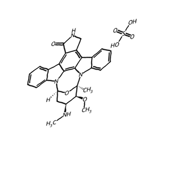 CN[C@H]1C[C@@H]2O[C@](C)([C@H]1OC)n1c3ccccc3c3c4c(c5c6ccccc6n2c5c31)C(=O)NC4.O=S(=O)(O)O